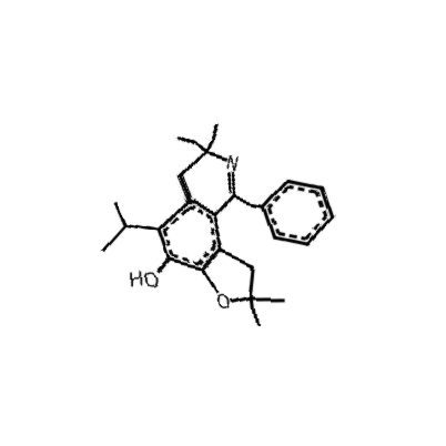 CC(C)c1c(O)c2c(c3c1CC(C)(C)N=C3c1ccccc1)CC(C)(C)O2